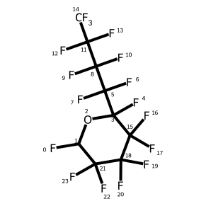 FC1OC(F)(C(F)(F)C(F)(F)C(F)(F)C(F)(F)F)C(F)(F)C(F)(F)C1(F)F